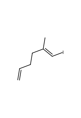 C=CCCC(C)=CI